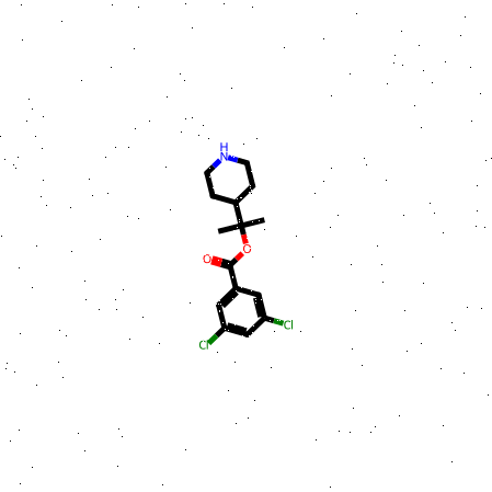 CC(C)(OC(=O)c1cc(Cl)cc(Cl)c1)C1CCNCC1